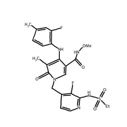 CCS(=O)(=O)Nc1nccc(Cn2cc(C(=O)NOC)c(Nc3ccc(C)cc3F)c(C)c2=O)c1F